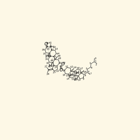 CC(C)CCC[C@@H](C)[C@H]1CC[C@H]2[C@@H]3CC=C4C[C@@H](OC(=O)[C@]56CC[C@@H](C(C)C)C5[C@H]5CC[C@@H]7[C@@]8(C)CCC(=O)C(C)(C)C8CC[C@@]7(C)[C@]5(C)CC6)CC[C@]4(C)[C@H]3CC[C@]12C